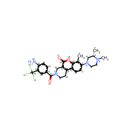 Cc1c(N2CCN(C)[C@@H](C)C2)ccc2c3c(c(=O)oc12)CN(C(=O)c1ccc(N)c(C(F)(F)F)c1)CC3